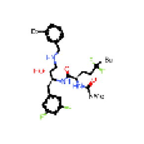 CCCCC(F)(F)CC[C@@H](NC(=O)NC)C(=O)N[C@@H](Cc1cc(F)cc(F)c1)[C@H](O)CNCc1cccc(CC)c1